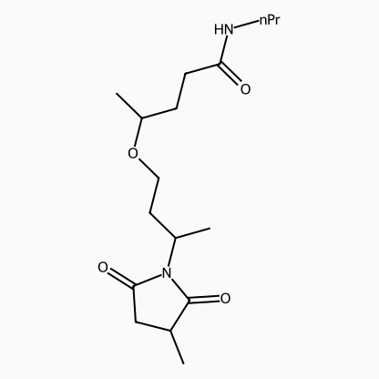 CCCNC(=O)CCC(C)OCCC(C)N1C(=O)CC(C)C1=O